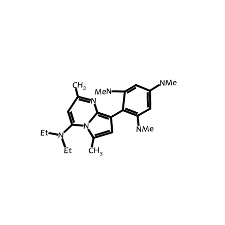 CCN(CC)c1cc(C)nc2c(-c3c(NC)cc(NC)cc3NC)cc(C)n12